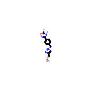 CCOCc1cn(Cc2ccc(-c3noc(C(F)(F)F)n3)cc2)nn1